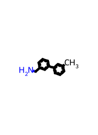 Cc1cccc(-c2cccc(CN)c2)c1